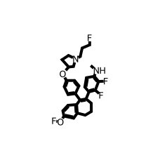 CNc1ccc(C2=C(c3ccc(OC4CCN(CCCF)C4)cc3)c3ccc(OF)cc3CCC2)c(F)c1F